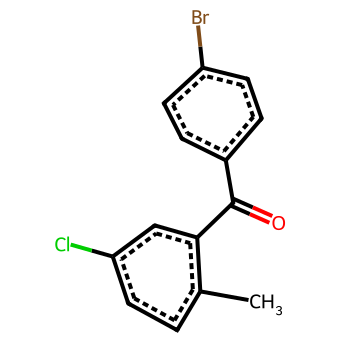 Cc1ccc(Cl)cc1C(=O)c1ccc(Br)cc1